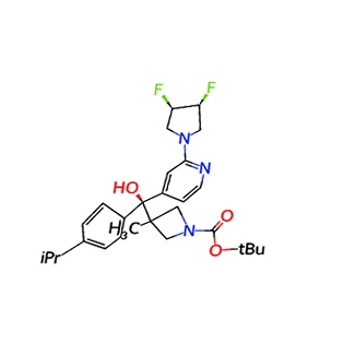 CC(C)c1ccc([C@](O)(c2ccnc(N3C[C@@H](F)[C@@H](F)C3)c2)C2(C)CN(C(=O)OC(C)(C)C)C2)cc1